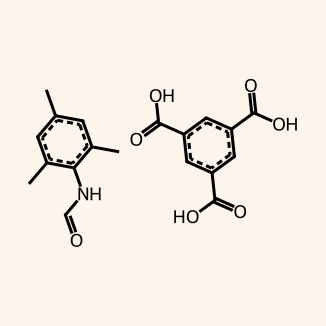 Cc1cc(C)c(NC=O)c(C)c1.O=C(O)c1cc(C(=O)O)cc(C(=O)O)c1